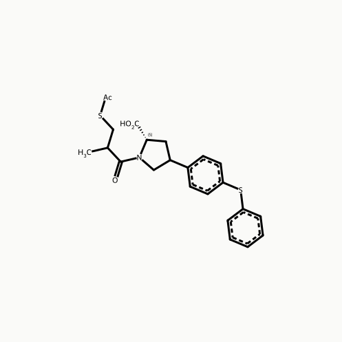 CC(=O)SCC(C)C(=O)N1CC(c2ccc(Sc3ccccc3)cc2)C[C@H]1C(=O)O